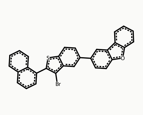 Brc1c(-c2cccc3ccccc23)sc2ccc(-c3ccc4oc5ccccc5c4c3)cc12